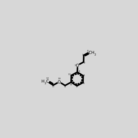 C=CCOc1cccc(COC=C)c1